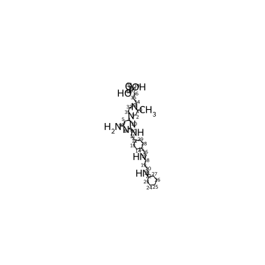 CC1CN(c2cc(N)nc(NCC3CCC(CNCCCNC4CCCCC4)CC3)n2)CCN1CCCP(=O)(O)O